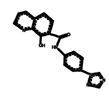 O=C(Nc1ccc(-n2cncn2)cc1)c1ccc2cccnc2c1O